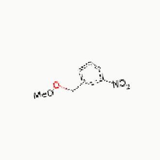 COOCc1cccc([N+](=O)[O-])c1